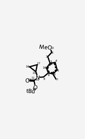 COCCc1ccc(C)c(CN(C(=O)OC(C)(C)C)C2CC2)c1